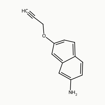 C#CCOc1ccc2ccc(N)cc2c1